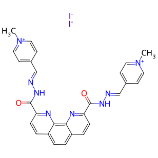 C[n+]1ccc(C=NNC(=O)c2ccc3ccc4ccc(C(=O)NN=Cc5cc[n+](C)cc5)nc4c3n2)cc1.[I-].[I-]